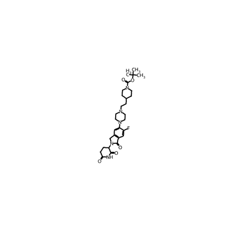 CC(C)(C)OC(=O)N1CCC(CCN2CCN(c3cc4c(cc3F)C(=O)N(C3CCC(=O)NC3=O)C4)CC2)CC1